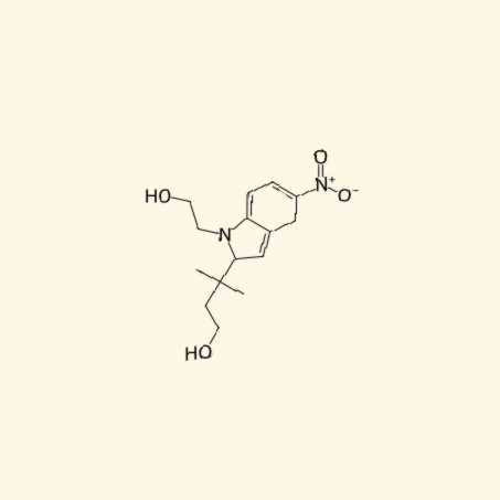 CC(C)(CCO)C1C=C2CC([N+](=O)[O-])=CC=C2N1CCO